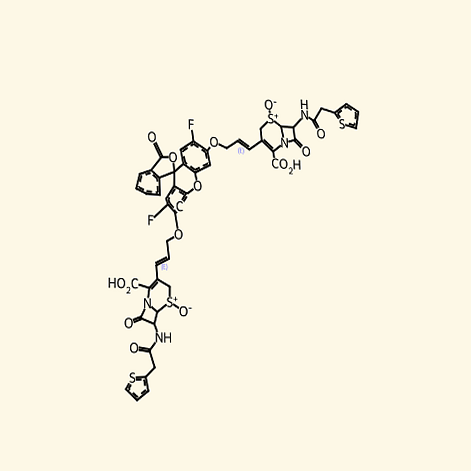 O=C(Cc1cccs1)NC1C(=O)N2C(C(=O)O)=C(/C=C/COc3cc4c(cc3F)C3(OC(=O)c5ccccc53)c3cc(F)c(OC/C=C/C5=C(C(=O)O)N6C(=O)C(NC(=O)Cc7cccs7)C6[S+]([O-])C5)cc3O4)C[S+]([O-])C12